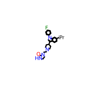 CC(C)c1ccc2c(C3CCN(CCN4CCNC4=O)CC3)cn(-c3ccc(F)cc3)c2c1